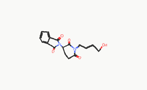 O=C1CCC(N2C(=O)c3ccccc3C2=O)C(=O)N1CCCCO